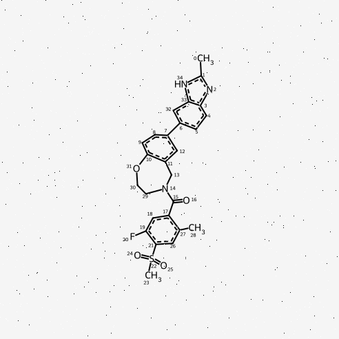 Cc1nc2ccc(-c3ccc4c(c3)CN(C(=O)c3cc(F)c(S(C)(=O)=O)cc3C)CCO4)cc2[nH]1